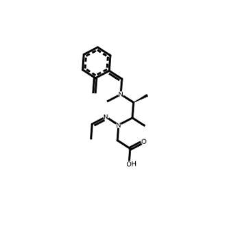 C=c1cccc/c1=C/N(C)[C@@H](C)C(C)N(CC(=O)O)/N=C\C